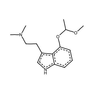 COC(C)Oc1cccc2[nH]cc(CCN(C)C)c12